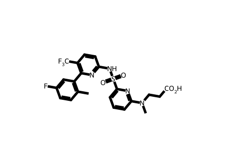 Cc1ccc(F)cc1-c1nc(NS(=O)(=O)c2cccc(N(C)CCC(=O)O)n2)ccc1C(F)(F)F